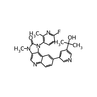 Cc1nc(F)ccc1-n1c(=O)n(C)c2cnc3ccc(-c4cncc(C(C)(C)O)c4)cc3c21